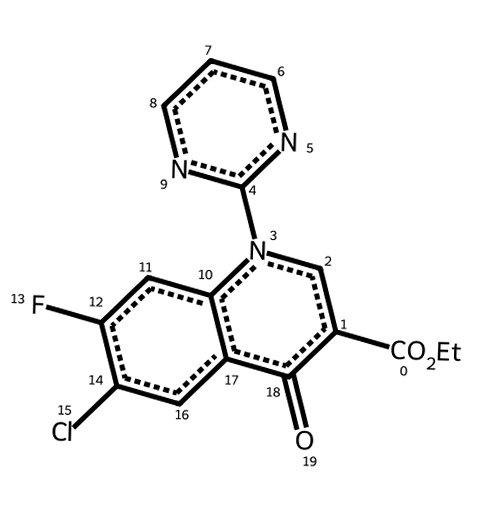 CCOC(=O)c1cn(-c2ncccn2)c2cc(F)c(Cl)cc2c1=O